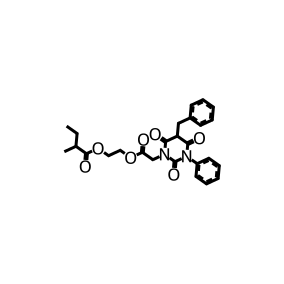 CCC(C)C(=O)OCCOC(=O)CN1C(=O)C(Cc2ccccc2)C(=O)N(c2ccccc2)C1=O